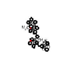 Cc1cc2c3c(c1)[Si](c1ccccc1)(c1ccc(-c4ccc5c(c4)B4c6ccccc6[Si](c6ccccc6)(c6ccccc6)c6cc(Cc7cc8c9c(c7)Oc7c(C)ccc%10c7B9c7c(cccc7O%10)O8)cc(c64)O5)cc1)c1ccccc1B3c1ccccc1[Si]2(c1ccccc1)c1ccccc1